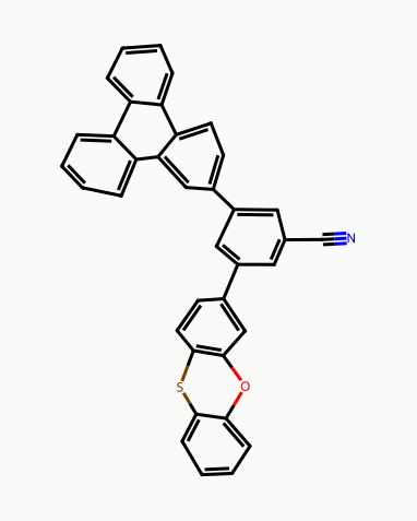 N#Cc1cc(-c2ccc3c(c2)Oc2ccccc2S3)cc(-c2ccc3c4ccccc4c4ccccc4c3c2)c1